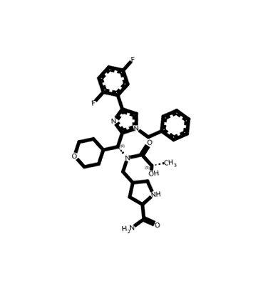 C[C@H](O)C(=O)N(CC1CNC(C(N)=O)C1)[C@@H](c1nc(-c2cc(F)ccc2F)cn1Cc1ccccc1)C1CCOCC1